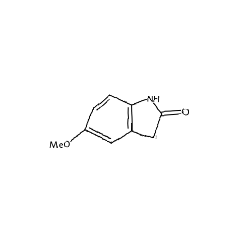 COc1ccc2c(c1)[C]C(=O)N2